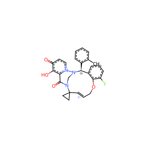 Cc1ccccc1[C@H]1c2cccc(F)c2OC/C=C/C2(CC2)N2CN1n1ccc(=O)c(O)c1C2=O